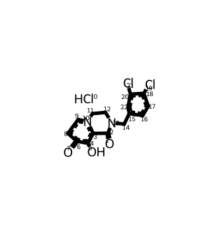 Cl.O=C1c2c(O)c(=O)ccn2CCN1Cc1ccc(Cl)c(Cl)c1